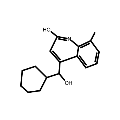 Cc1cccc2c(C(O)C3CCCCC3)cc(O)nc12